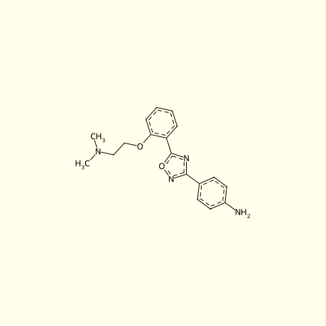 CN(C)CCOc1ccccc1-c1nc(-c2ccc(N)cc2)no1